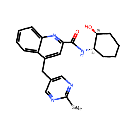 CSc1ncc(Cc2cc(C(=O)N[C@H]3CCCC[C@@H]3O)nc3ccccc23)cn1